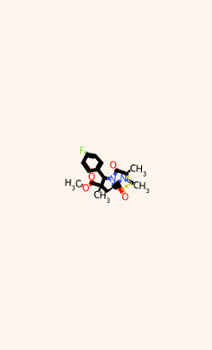 COC(=O)[C@@]1(C)C[C@@]23SS[C@@](C)(C(=O)N2C1c1ccc(F)cc1)N(C)C3=O